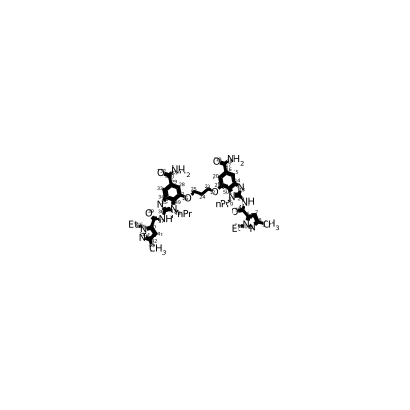 CCCn1c(NC(=O)c2cc(C)nn2CC)nc2cc(C(N)=O)cc(OCCCOc3cc(C(N)=O)cc4nc(NC(=O)c5cc(C)nn5CC)n(CCC)c34)c21